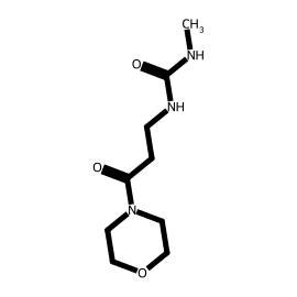 CNC(=O)NCCC(=O)N1CCOCC1